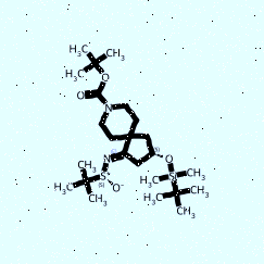 CC(C)(C)OC(=O)N1CCC2(CC1)C[C@H](O[Si](C)(C)C(C)(C)C)C/C2=N\[S@+]([O-])C(C)(C)C